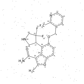 Cc1oc2ccc(OCc3cccnc3C(F)(F)F)c(C3CNCC3(F)F)c2c1C(N)=O